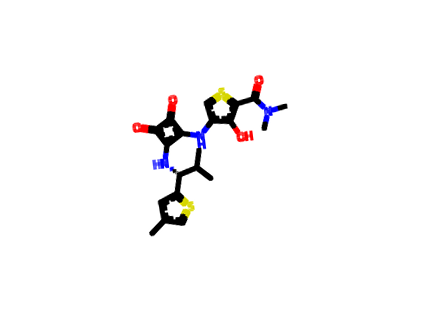 Cc1csc([C@H](Nc2c(Nc3csc(C(=O)N(C)C)c3O)c(=O)c2=O)C(C)C)c1